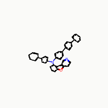 C1=CC(c2ccc(N(c3ccc(-c4ccc(-c5ccccc5)cc4)cc3)c3cccc4oc5ccncc5c34)cc2)=CCC1